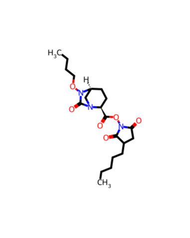 CCCCCC1CC(=O)N(OC(=O)[C@@H]2CC[C@H]3CN2C(=O)N3OCCCC)C1=O